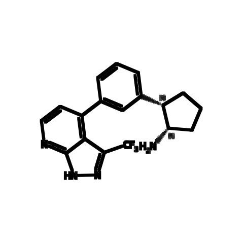 N[C@H]1CCC[C@H]1c1cccc(-c2ccnc3[nH]nc(C(F)(F)F)c23)c1